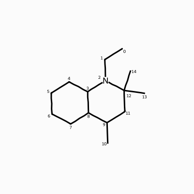 CCN1C2CCCCC2C(C)CC1(C)C